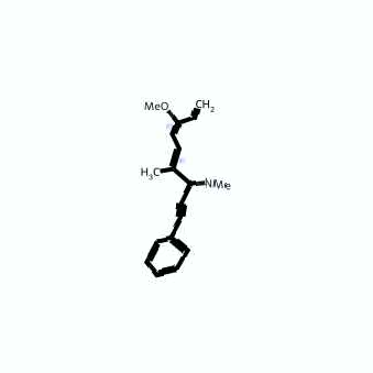 C=C/C(=C\C=C(/C)C(C#Cc1ccccc1)NC)OC